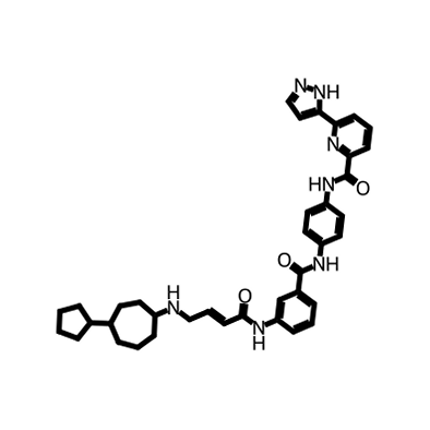 O=C(/C=C/CNC1CCCC(C2CCCC2)CC1)Nc1cccc(C(=O)Nc2ccc(NC(=O)c3cccc(-c4ccn[nH]4)n3)cc2)c1